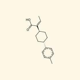 CC=C(C(=O)O)[C@H]1CC[C@H](c2ccc(C)cc2)CC1